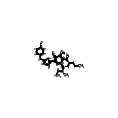 CCCN1C[C@H]([C@H](C)OC)n2cc(-c3nnc(Cc4ccc(F)cc4)s3)c(=O)c(O)c2C1=O